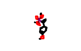 C=C(c1ccc(OC)cc1)P(=O)(OC)OC